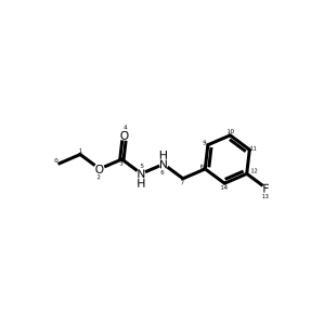 CCOC(=O)NNCc1cccc(F)c1